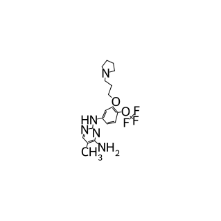 Cc1cnc(Nc2ccc(OC(F)(F)F)c(OCCCN3CCCC3)c2)nc1N